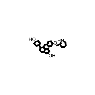 Oc1ccc(-c2ccc3cc(O)ccc3c2Cc2ccc(OCC3=CNC=CC=C3)cc2)cc1